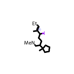 CC/C=C(\C)C(I)CCC(CNC)C1(C)CCCC1